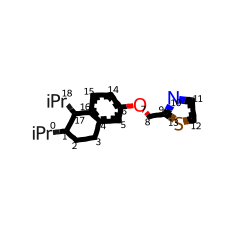 CC(C)C1CCc2cc(OCc3nccs3)ccc2C1C(C)C